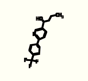 CCC[C@H](O)c1ccc(-c2ccc(C(F)(F)F)cc2)nc1